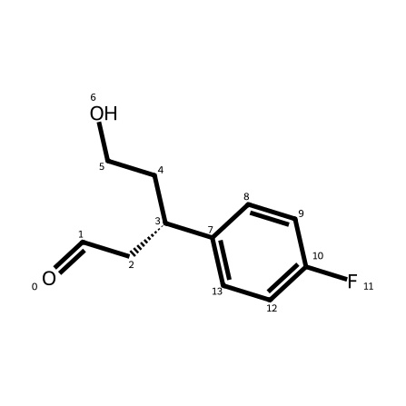 O=CC[C@H](CCO)c1ccc(F)cc1